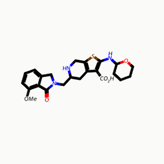 COc1cccc2c1C(=O)N(CC1Cc3c(sc(NC4CCCCO4)c3C(=O)O)CN1)C2